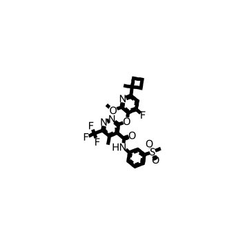 COc1nc(C2(C)CCC2)cc(F)c1Oc1nnc(C(F)(F)F)c(C)c1C(=O)Nc1cccc(S(C)(=O)=O)c1